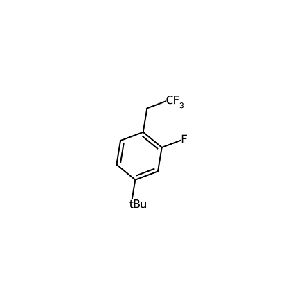 CC(C)(C)c1ccc(CC(F)(F)F)c(F)c1